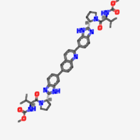 COC(=O)N[C@H](C(=O)N1CCC[C@H]1c1nc2ccc(-c3ccc4nc(-c5ccc6nc([C@@H]7CCCN7C(=O)[C@@H](NC(=O)OC)C(C)C)[nH]c6c5)ccc4c3)cc2[nH]1)C(C)C